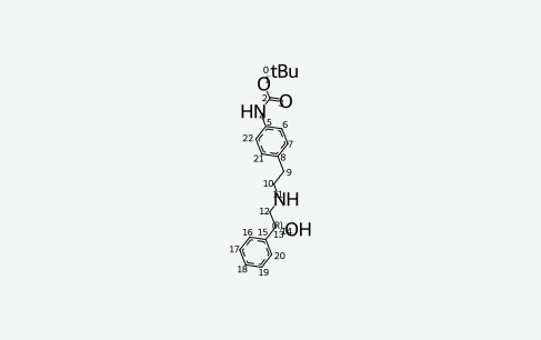 CC(C)(C)OC(=O)Nc1ccc(CCNC[C@H](O)c2ccccc2)cc1